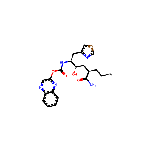 CC(C)CC[C@H](C[C@H](O)[C@H](Cc1cscn1)NC(=O)Oc1cnc2ccccc2n1)C(N)=O